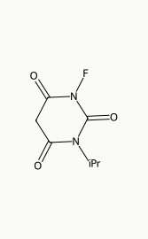 CC(C)N1C(=O)CC(=O)N(F)C1=O